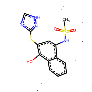 CS(=O)(=O)Nc1cc(Sc2nc[nH]n2)c(O)c2ccccc12